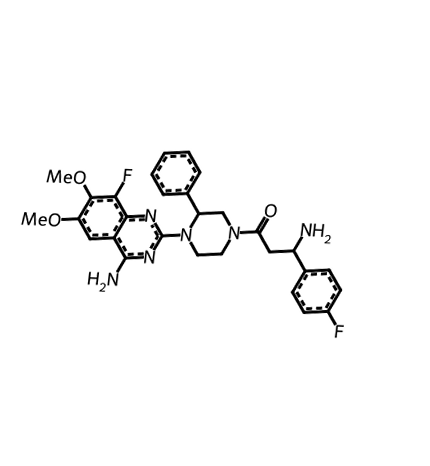 COc1cc2c(N)nc(N3CCN(C(=O)CC(N)c4ccc(F)cc4)CC3c3ccccc3)nc2c(F)c1OC